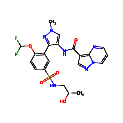 C[C@H](O)CNS(=O)(=O)c1ccc(OC(F)F)c(-c2nn(C)cc2NC(=O)c2cnn3cccnc23)c1